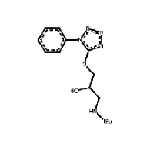 CC(C)(C)NCC(O)COc1nnnn1-c1ccccc1